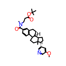 COc1cncc([C@H]2CCC3[C@@H]4CCc5cc(C(=O)N(C)CCC(=O)OC(C)(C)C)ccc5C4CCC32C)c1